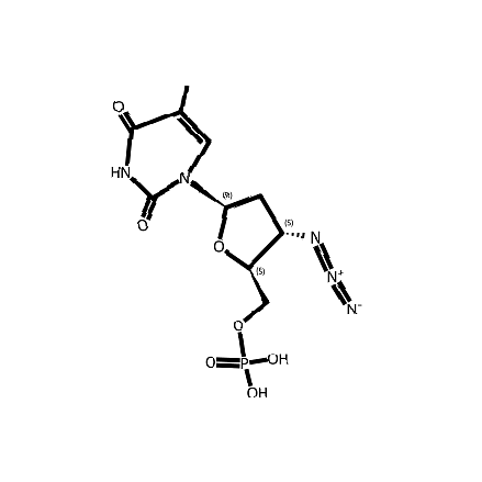 Cc1cn([C@H]2C[C@H](N=[N+]=[N-])[C@@H](COP(=O)(O)O)O2)c(=O)[nH]c1=O